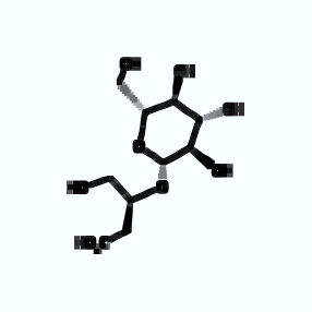 O=C(O)C[C@@H](CO)O[C@@H]1O[C@H](CO)[C@@H](O)[C@H](O)[C@H]1O